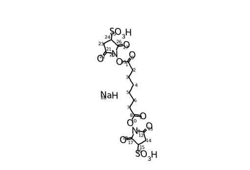 O=C(CCCCCCC(=O)ON1C(=O)CC(S(=O)(=O)O)C1=O)ON1C(=O)CC(S(=O)(=O)O)C1=O.[NaH]